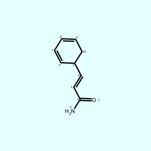 NC(=O)C=CC1C=CC=CC1